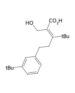 CC(C)(C)C(CCc1cccc(C(C)(C)C)c1)=C(CO)C(=O)O